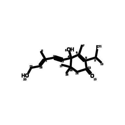 CC(C#CC1(O)C(C)=C(C(C)F)C(=O)CC1(C)C)=CCO